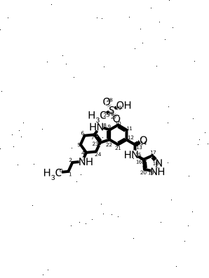 CCCNC1CCc2[nH]c3ccc(C(=O)Nc4cn[nH]c4)cc3c2C1.CS(=O)(=O)O